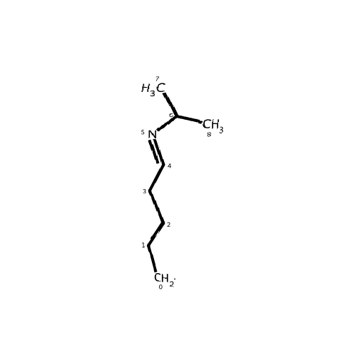 [CH2]CCCC=NC(C)C